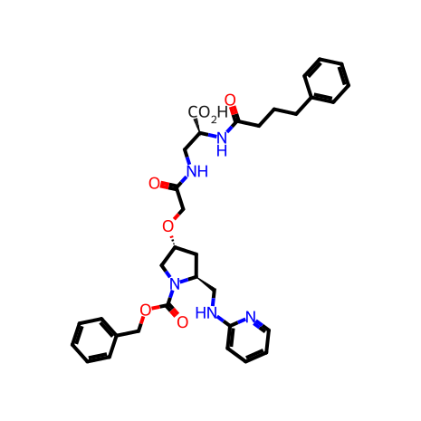 O=C(CO[C@@H]1C[C@@H](CNc2ccccn2)N(C(=O)OCc2ccccc2)C1)NC[C@H](NC(=O)CCCc1ccccc1)C(=O)O